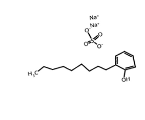 CCCCCCCCCc1ccccc1O.O=S(=O)([O-])[O-].[Na+].[Na+]